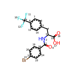 O=C(NC(Cc1ccc(C(F)(F)F)cc1)C(=O)O)c1ccc(Br)cc1